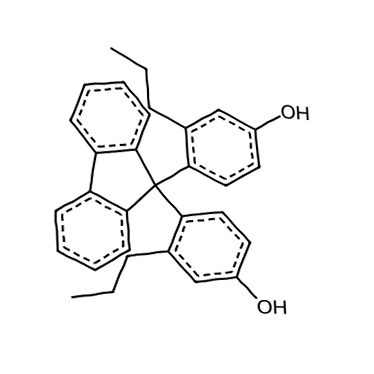 CCCc1cc(O)ccc1C1(c2ccc(O)cc2CCC)c2ccccc2-c2ccccc21